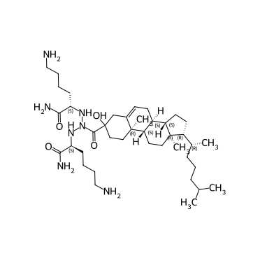 CC(C)CCC[C@@H](C)[C@H]1CC[C@H]2[C@@H]3CC=C4CC(O)(C(=O)N(N[C@@H](CCCCN)C(N)=O)N[C@@H](CCCCN)C(N)=O)CC[C@]4(C)[C@H]3CC[C@]12C